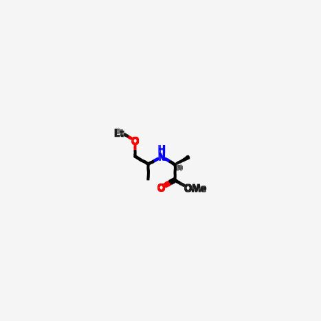 CCOCC(C)N[C@@H](C)C(=O)OC